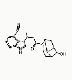 CC(CC(=O)N1C2CC3CC1CC(C2)C3O)c1c[nH]c2cccc(C#N)c12